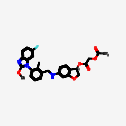 CCOc1nc2ccc(F)cc2n1-c1cccc(CNc2ccc3c(c2)OC[C@H]3OC(=O)COC(=O)C(F)(F)F)c1C